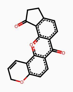 O=C1CCc2ccc3c(=O)c4ccc5c(c4oc3c21)C=CCO5